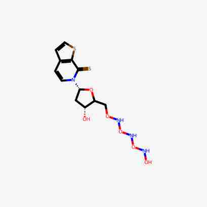 ONONONOCC1O[C@@H](n2ccc3ccsc3c2=S)C[C@H]1O